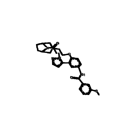 COc1cccc(C(=O)Nc2ccc(OCCN3CC4CCC(C3)N4C(C)=O)c(-c3ccnn3C)c2)c1